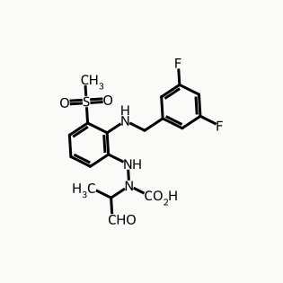 CC(C=O)N(Nc1cccc(S(C)(=O)=O)c1NCc1cc(F)cc(F)c1)C(=O)O